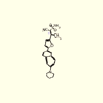 C/C(=C(/C#N)S(N)(=O)=O)c1ccc(-c2ccc3cc(N4CCCCC4)ccc3c2)o1